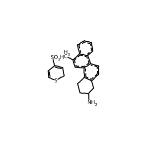 Cc1cc2c3c(ccc2c2ccccc12)CC(N)CC3.O=S(=O)(O)C1=CCSC=C1